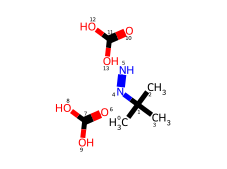 CC(C)(C)N=N.O=C(O)O.O=C(O)O